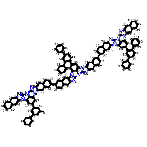 Cc1cc(-c2ccccc2)cc(-c2cc3c4c(c2)n2c5cc6cc(-c7ccc8cc9nc%10n(c9cc8c7)c7cc(-c8ccc(-c9ccccc9)cc8-c8ccccc8)cc8c7n%10c7nc9cc%10ccc(-c%11ccc%12cc%13nc%14n(c%13cc%12c%11)c%11cc(-c%12cc(-c%13ccccc%13)ccc%12-c%12ccccc%12)cc%12c%11n%14c%11nc%13cc%14ccccc%14cc%13n%12%11)cc%10cc9n87)ccc6cc5nc2n4c2nc4cc5ccccc5cc4n32)c1